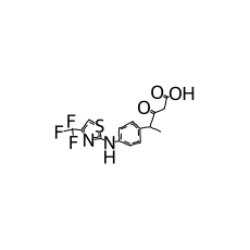 CC(C(=O)CC(=O)O)c1ccc(Nc2nc(C(F)(F)F)cs2)cc1